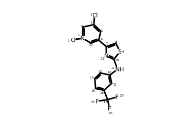 [O-][n+]1cc(Cl)cc(-c2csc(Nc3cccc(C(F)(F)F)c3)n2)c1